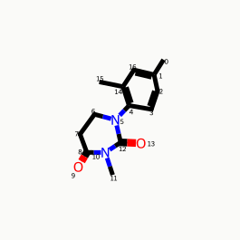 Cc1ccc(N2CCC(=O)N(C)C2=O)c(C)c1